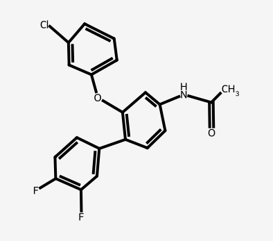 CC(=O)Nc1ccc(-c2ccc(F)c(F)c2)c(Oc2cccc(Cl)c2)c1